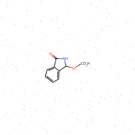 O=C(O)OC1NC(=O)c2ccccc21